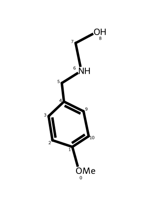 COc1ccc(CNCO)cc1